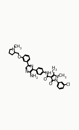 Cc1c(C(=O)Nc2ccc(-c3nc(-c4cccc(OCC5CCCN5C)c4)cnc3N)cc2)c(=O)n(-c2cccc(Cl)c2)n1C